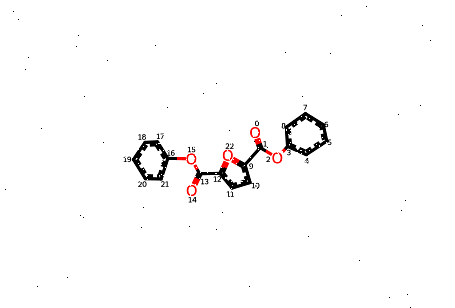 O=C(Oc1ccccc1)c1ccc(C(=O)Oc2ccccc2)o1